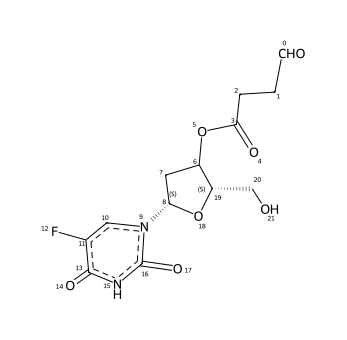 O=CCCC(=O)OC1C[C@@H](n2cc(F)c(=O)[nH]c2=O)O[C@H]1CO